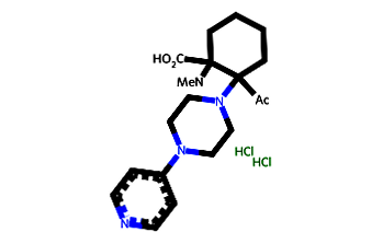 CNC1(C(=O)O)CCCCC1(C(C)=O)N1CCN(c2ccncc2)CC1.Cl.Cl